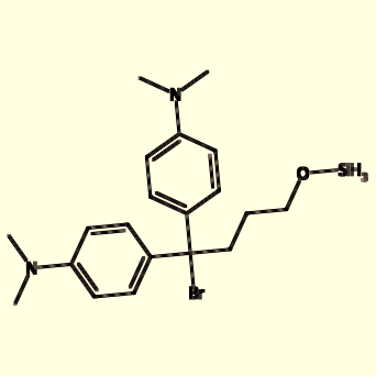 CN(C)c1ccc(C(Br)(CCCO[SiH3])c2ccc(N(C)C)cc2)cc1